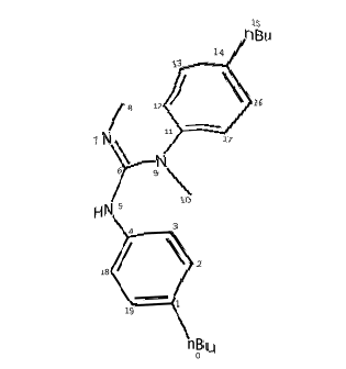 CCCCc1ccc(NC(=NC)N(C)c2ccc(CCCC)cc2)cc1